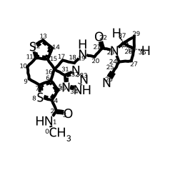 CNC(=O)c1cc2c(s1)CCc1sccc1C2(CCNCC(=O)N1C(C#N)C[C@@H]2C[C@@H]21)c1nn[nH]n1